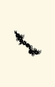 CCc1cc2c(cc1N1CCC(N3CCN(C(=O)CNc4cccc5c4CN(C4CCC(=O)NC4=O)C5=O)CC3)CC1)C(C)(C)c1[nH]c3cc(C#N)ccc3c1C2=O